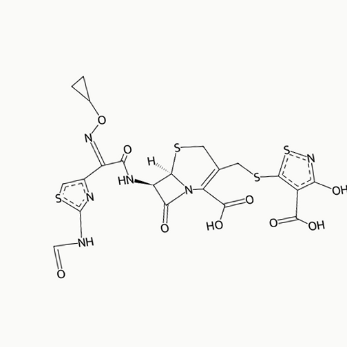 O=CNc1nc(/C(=N/OC2CC2)C(=O)N[C@@H]2C(=O)N3C(C(=O)O)=C(CSc4snc(O)c4C(=O)O)CS[C@H]23)cs1